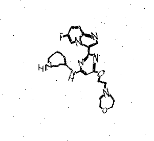 Fc1ccc2ncc(-c3nc(NC4CCCNC4)cc(OCCN4CCOCC4)n3)n2c1